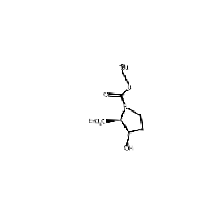 CCOC(=O)[C@@H]1C(O)CCN1C(=O)OC(C)(C)C